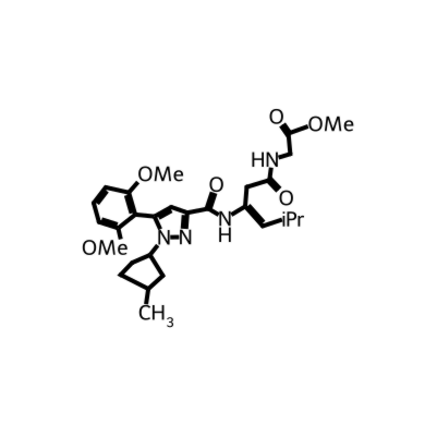 COC(=O)CNC(=O)C/C(=C\C(C)C)NC(=O)c1cc(-c2c(OC)cccc2OC)n(C2CCC(C)C2)n1